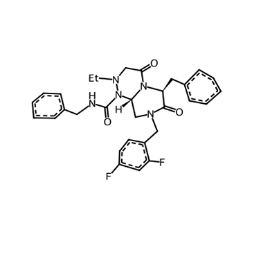 CCN1CC(=O)N2[C@@H](Cc3ccccc3)C(=O)N(Cc3ccc(F)cc3F)C[C@@H]2N1C(=O)NCc1ccccc1